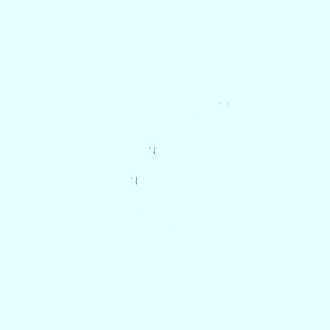 O=C1CCN(N2CCC2=O)C1